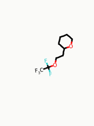 FC(F)(F)C(F)(F)OCCC1CCCCO1